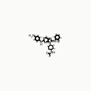 CC(=O)N[C@H]1CC[C@H](n2c(Nc3ccccc3F)nc3cnc(Nc4ccc(N)cc4)nc32)CC1